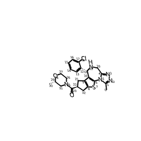 Cc1nnc2n1-c1sc3c(c1[C@H](c1ccccc1Cl)NC2)C[C@H](C(=O)N1CCO[C@@H](C)C1)C3